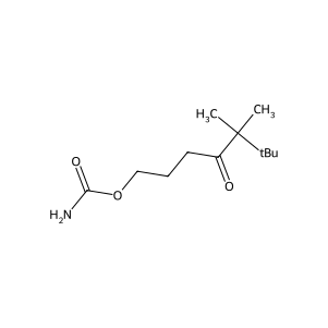 CC(C)(C)C(C)(C)C(=O)CCCOC(N)=O